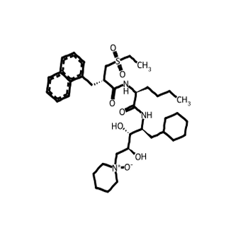 CCCC[C@H](NC(=O)[C@H](Cc1cccc2ccccc12)CS(=O)(=O)CC)C(=O)N[C@@H](CC1CCCCC1)[C@@H](O)[C@@H](O)C[N+]1([O-])CCCCC1